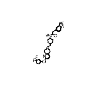 Cn1cc2cc(CC(=O)NC3CCC(CCN4CCc5ccc(OC6CCC(F)(F)C6)nc5CC4)CC3)ccc2n1